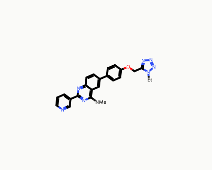 CCn1nnnc1COc1ccc(-c2ccc3nc(-c4cccnc4)nc(NC)c3c2)cc1